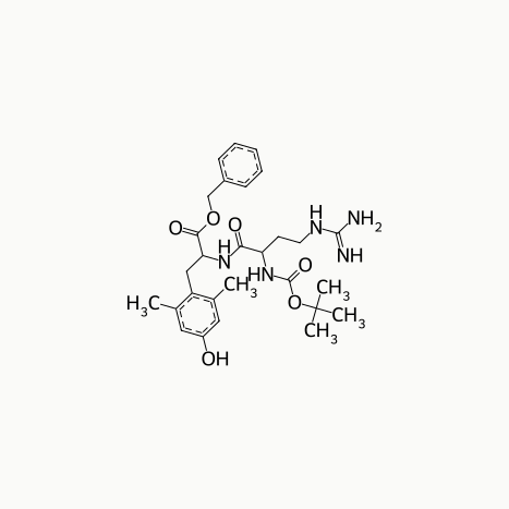 Cc1cc(O)cc(C)c1CC(NC(=O)C(CCNC(=N)N)NC(=O)OC(C)(C)C)C(=O)OCc1ccccc1